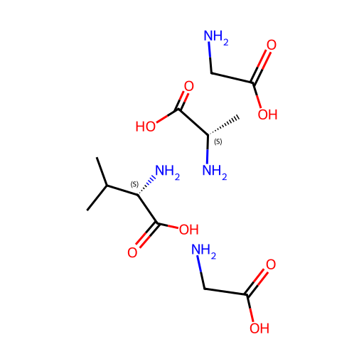 CC(C)[C@H](N)C(=O)O.C[C@H](N)C(=O)O.NCC(=O)O.NCC(=O)O